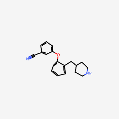 N#Cc1cccc(Oc2ccccc2CC2CCNCC2)c1